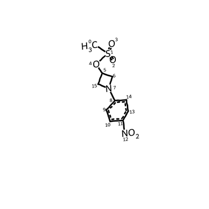 CS(=O)(=O)OC1CN(c2ccc([N+](=O)[O-])cc2)C1